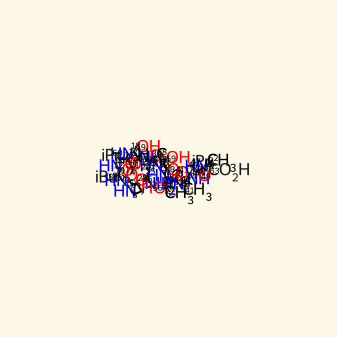 CC[C@H](C)[C@H](NC(=O)[C@@H]1CCCN1)C(=O)N[C@H](C(=O)N[C@@H](CO)C(=O)N[C@@H](CCC(N)=O)C(=O)N[C@H](C(=O)N[C@H](C(=O)N[C@@H](C)C(=O)N[C@@H](CC(C)C)C(=O)N[C@@H](C)C(=O)O)[C@@H](C)O)[C@@H](C)O)C(C)C